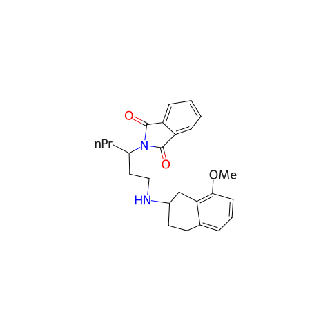 CCCC(CCNC1CCc2cccc(OC)c2C1)N1C(=O)c2ccccc2C1=O